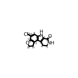 O=C1NCCc2c1[nH]c1cc(Cl)c3c(c21)CCO3